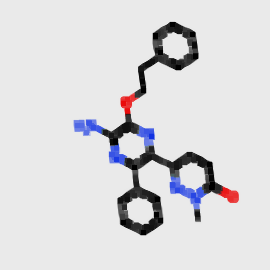 Cn1nc(-c2nc(OCCc3ccccc3)c(N)nc2-c2ccccc2)ccc1=O